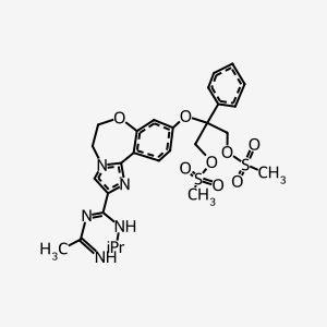 CC(=N)/N=C(\NC(C)C)c1cn2c(n1)-c1ccc(OC(COS(C)(=O)=O)(COS(C)(=O)=O)c3ccccc3)cc1OCC2